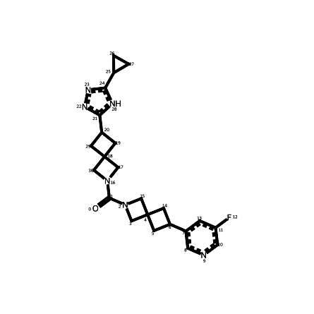 O=C(N1CC2(CC(c3cncc(F)c3)C2)C1)N1CC2(CC(c3nnc(C4CC4)[nH]3)C2)C1